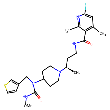 CONC(=O)N(Cc1ccsc1)C1CCN([C@H](C)CCNC(=O)c2c(C)cc(F)nc2C)CC1